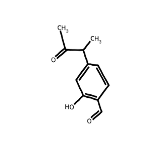 CC(=O)C(C)c1ccc(C=O)c(O)c1